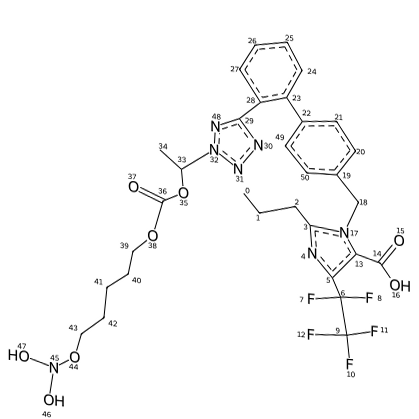 CCCc1nc(C(F)(F)C(F)(F)F)c(C(=O)O)n1Cc1ccc(-c2ccccc2-c2nnn(C(C)OC(=O)OCCCCCON(O)O)n2)cc1